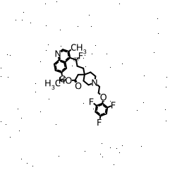 COc1ccc2ncc(C)c([C@@H](F)CCC3(CC(=O)O)CCN(CCOc4c(F)cc(F)cc4F)CC3)c2c1